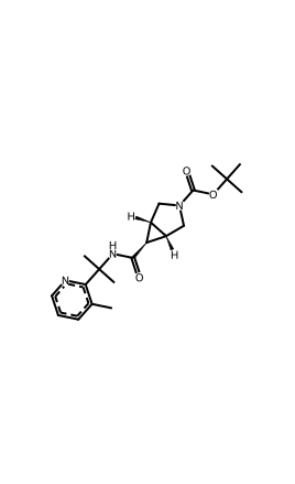 Cc1cccnc1C(C)(C)NC(=O)[C@H]1[C@@H]2CN(C(=O)OC(C)(C)C)C[C@@H]21